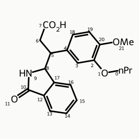 CCCOc1cc(C(CC(=O)O)C2NC(=O)c3ccccc32)ccc1OC